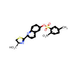 Cc1ccc([N+](=O)[O-])c(S(=O)(=O)Oc2ccc3nc(C4=N[C@@H](C(=O)O)CS4)ccc3c2)c1